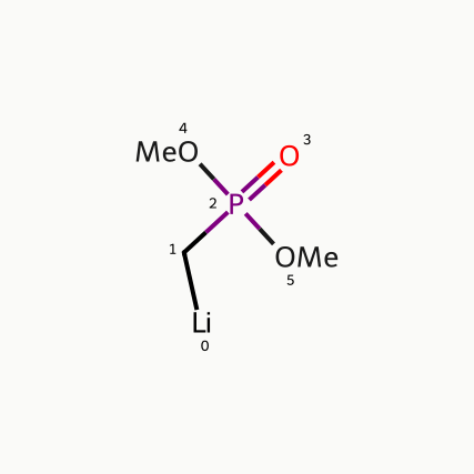 [Li][CH2]P(=O)(OC)OC